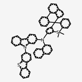 C[Si]1(C)c2ccccc2C2(c3ccccc3-c3cccc4cccc2c34)c2ccc(N(c3ccc4c5ccccc5n(-c5ccc6c(c5)sc5ccccc56)c4c3)c3cccc4ccccc34)cc21